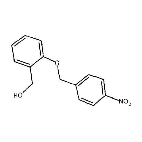 O=[N+]([O-])c1ccc(COc2ccccc2CO)cc1